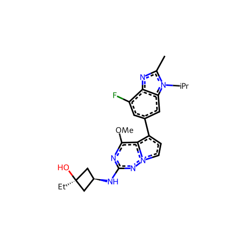 CC[C@]1(O)C[C@@H](Nc2nc(OC)c3c(-c4cc(F)c5nc(C)n(C(C)C)c5c4)ccn3n2)C1